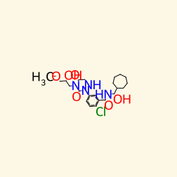 COCC(O)CN1C(=O)CNN(c2ccc(Cl)c(C(=O)NC(O)C3CCCCCC3)c2)C1=O